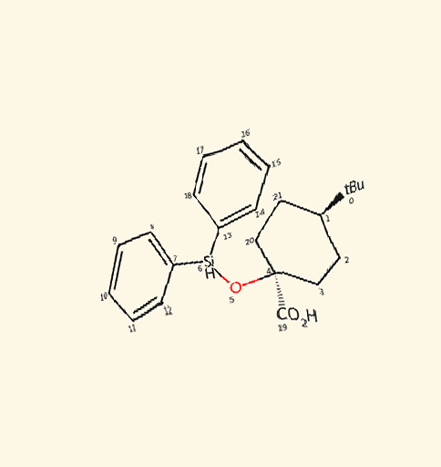 CC(C)(C)[C@H]1CC[C@](O[SiH](c2ccccc2)c2ccccc2)(C(=O)O)CC1